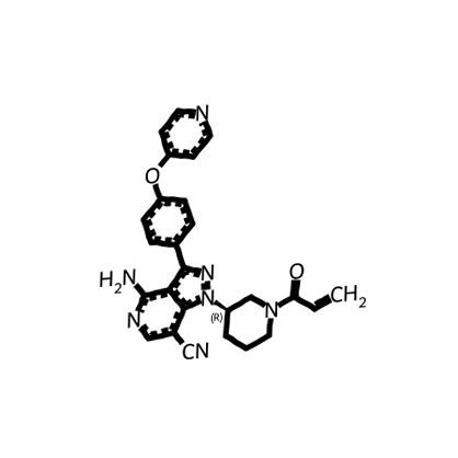 C=CC(=O)N1CCC[C@@H](n2nc(-c3ccc(Oc4ccncc4)cc3)c3c(N)ncc(C#N)c32)C1